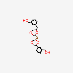 OCc1cccc(CC2COCC(SC3COCC(c4cccc(CO)c4)O3)O2)c1